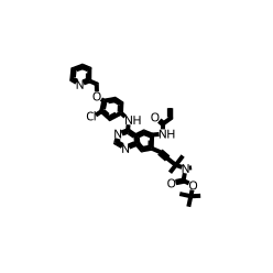 C=CC(=O)Nc1cc2c(Nc3ccc(OCc4ccccn4)c(Cl)c3)ncnc2cc1C#CC(C)(C)N(C)C(=O)OC(C)(C)C